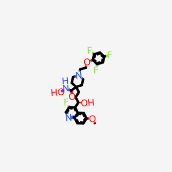 COc1ccc2ncc(F)c([C@H](O)CCC3(C(=O)NO)CCN(CCOc4c(F)cc(F)cc4F)CC3)c2c1